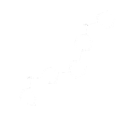 c1ccc(Nc2ccc(-c3cccc(-c4ccc(Nc5ccccc5)cc4)c3)cc2)cc1